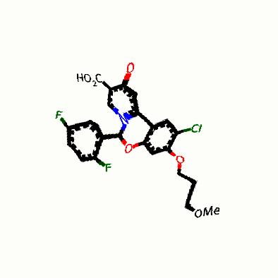 COCCCOc1cc2c(cc1Cl)-c1cc(=O)c(C(=O)O)cn1C(c1cc(F)ccc1F)O2